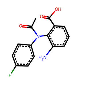 CC(=O)N(c1ccc(F)cc1)c1c(N)cccc1C(=O)O